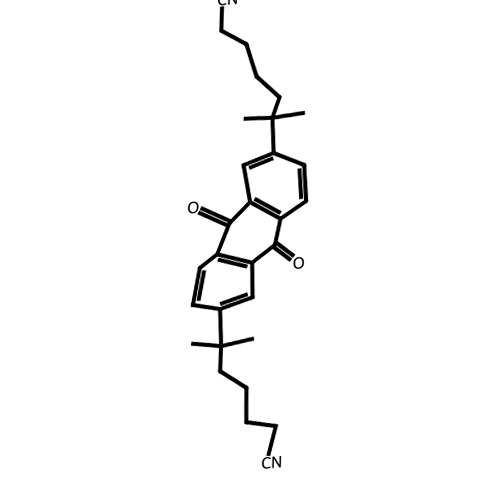 CC(C)(CCCCC#N)c1ccc2c(c1)C(=O)c1ccc(C(C)(C)CCCCC#N)cc1C2=O